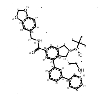 CC(C)(C)[S@@+]([O-])N1Cc2cc(C(=O)NCc3ccc4c(c3)OCO4)nc(-c3cccc(-c4cccnc4)c3)c2[C@H]1CCO